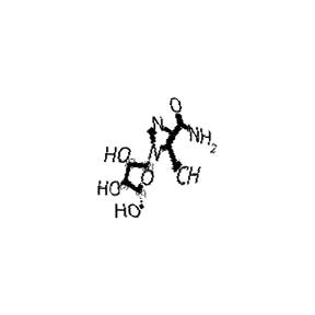 C#Cc1c(C(N)=O)ncn1[C@@H]1O[C@H](CO)[C@@H](O)[C@@H]1O